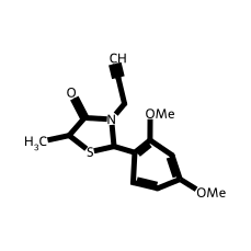 C#CCN1C(=O)C(C)SC1c1ccc(OC)cc1OC